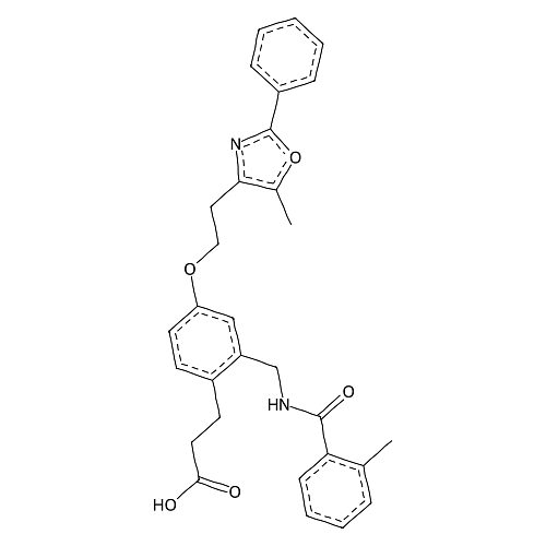 Cc1ccccc1C(=O)NCc1cc(OCCc2nc(-c3ccccc3)oc2C)ccc1CCC(=O)O